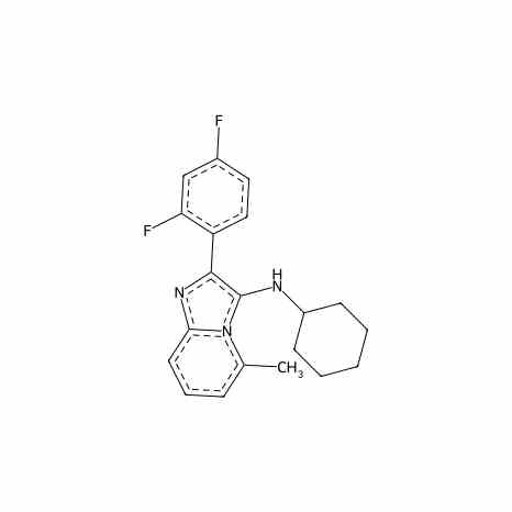 Cc1cccc2nc(-c3ccc(F)cc3F)c(NC3CCCCC3)n12